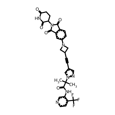 CC(C)(C(=O)Nc1cnccc1C(F)(F)F)n1cc(C#CC2CN(c3ccc4c(c3)C(=O)N(C3CCC(=O)NC3=O)C4=O)C2)cn1